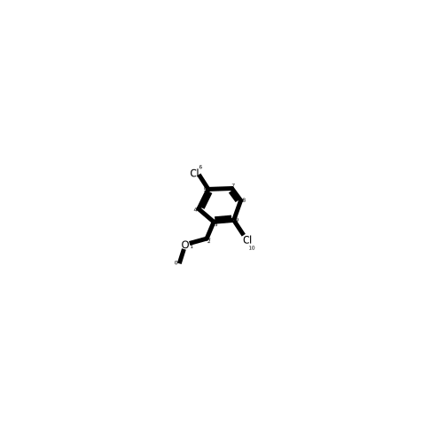 CO[CH]c1cc(Cl)ccc1Cl